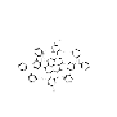 CC(C)c1cc(C(C)C)c(-c2cc3c4c(cc5c(-c6c(C(C)C)cc(C(C)C)cc6C(C)C)cc6c7c(cc2c4c57)B2c4ccccc4-c4cc(N(c5ccccc5)c5ccccc5)cc-6c42)B2c4ccccc4-c4cc(N(c5ccccc5)c5ccccc5)cc-3c42)c(C(C)C)c1